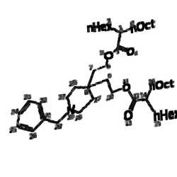 CCCCCCCCC(CCCCCC)C(=O)OCCC1(CCOC(=O)C(CCCCCC)CCCCCCCC)CCN(Cc2ccccc2)CC1